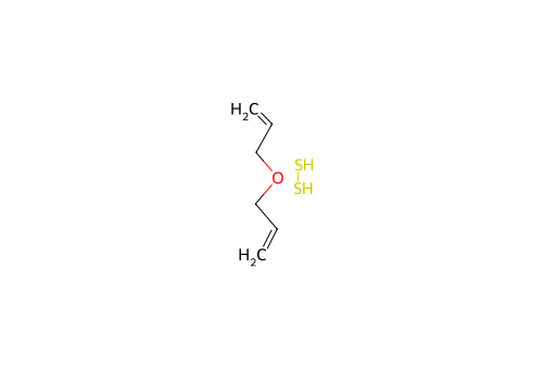 C=CCOCC=C.SS